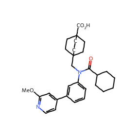 COc1cc(-c2cccc(N(CC34CCC(C(=O)O)(CC3)CC4)C(=O)C3CCCCC3)c2)ccn1